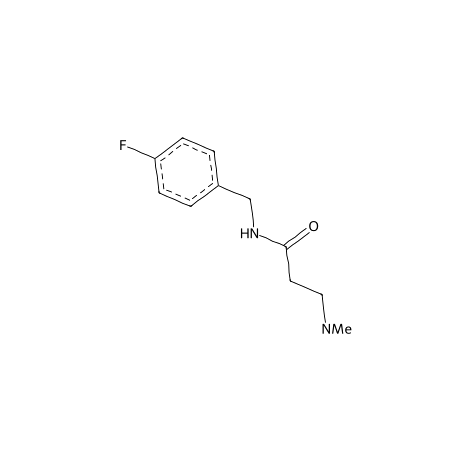 CNCCC(=O)NCc1ccc(F)cc1